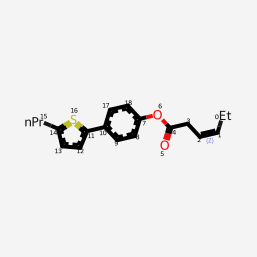 CC/C=C\CC(=O)Oc1ccc(-c2ccc(CCC)s2)cc1